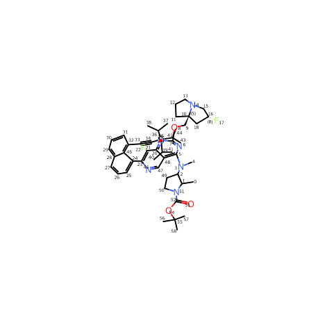 CC1C(N(C)c2nc(OC[C@@]34CCCN3C[C@H](F)C4)nc3c(F)c(-c4cccc5cccc(C#C[Si](C(C)C)(C(C)C)C(C)C)c45)ncc23)CCN1C(=O)OC(C)(C)C